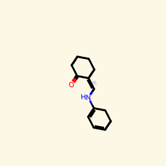 O=C1CCCC/C1=C/NC1=CC=CCC1